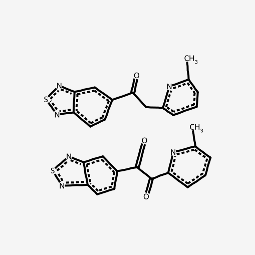 Cc1cccc(C(=O)C(=O)c2ccc3nsnc3c2)n1.Cc1cccc(CC(=O)c2ccc3nsnc3c2)n1